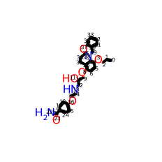 C=CCOc1ccc(OCC(O)CNCCOc2ccc(C(N)=O)cc2)c2c1N(Cc1ccccc1)C(=O)CC2